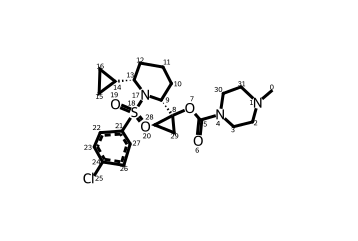 CN1CCN(C(=O)OC2([C@H]3CCC[C@@H](C4CC4)N3S(=O)(=O)c3ccc(Cl)cc3)CC2)CC1